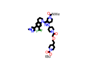 CNC(=O)N1CCc2c(c(N3CCCc4cc(-c5cnn(C)c5)c(C(F)F)cc43)nn2C2CCN(C(=O)COCCC3CCN(C(=O)OC(C)(C)C)CC3)CC2)C1